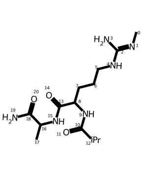 C/N=C(\N)NCCCC(NC(=O)C(C)C)C(=O)NC(C)C(N)=O